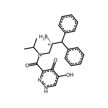 B[C@@H](CN(C(=O)c1n[nH]cc(O)c1=O)C(C)C)C(c1ccccc1)c1ccccc1